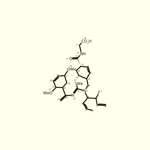 C=CC(F)C(/C=C\C)N(CC1C=C[C@@H](C(=O)NCC(=O)O)CC1)/C(=N/C(=C)C1CC(OC)C=CC1OC)SC